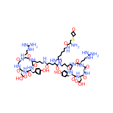 N=C(N)NCCC[C@H]1NC(=O)CNC(=O)[C@@H](CC(=O)O)NC(=O)[C@H](Cc2ccc(O)cc2)NC(=O)C(CCCCNC(=O)CCC(NC(=O)CCCCCNC(=O)C(N)CSC2CC(=O)C2)C(=O)NCCCCC2NC(=O)[C@@H](CCCNC(=N)N)NC(=O)CNC(=O)[C@@H](CC(=O)O)NC(=O)[C@H](Cc3ccc(O)cc3)NC2=O)NC1=O